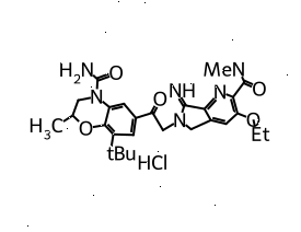 CCOc1cc2c(nc1C(=O)NC)C(=N)N(CC(=O)c1cc3c(c(C(C)(C)C)c1)OC(C)CN3C(N)=O)C2.Cl